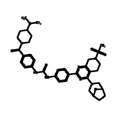 CN(C)C1CCN(C(=O)c2ccc(NC(=O)Nc3ccc(-c4nc5c(c(N6CC7CCC(C6)O7)n4)CCN(S(C)(=O)=O)C5)cc3)cc2)CC1